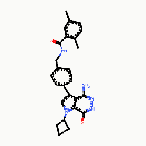 Cc1ccc(C)c(C(=O)NCc2ccc(-c3cn(C4CCC4)c4c(=O)[nH]nc(N)c34)cc2)c1